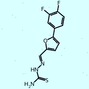 NC(=S)N/N=C/c1ccc(-c2ccc(F)c(F)c2)o1